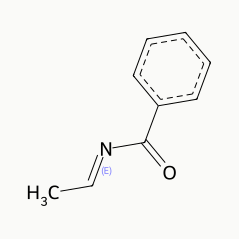 C/C=N/C(=O)c1ccccc1